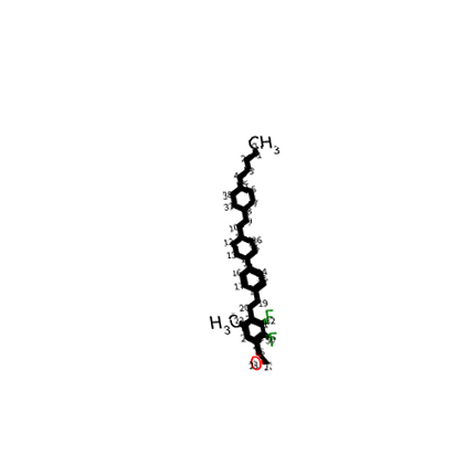 CCCCCC1CCC(CCC2CCC(c3ccc(CCc4c(C)cc(C5CO5)c(F)c4F)cc3)CC2)CC1